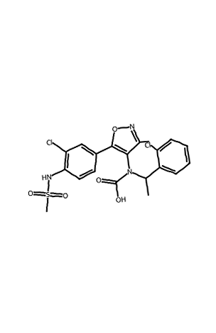 Cc1noc(-c2ccc(NS(C)(=O)=O)c(Cl)c2)c1N(C(=O)O)C(C)c1ccccc1Cl